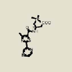 Cc1nc(-c2cnccn2)sc1C(=O)N[C@H](CC(=O)[O-])C[N+](C)(C)C